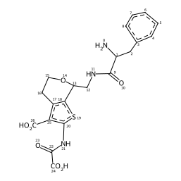 NC(Cc1ccccc1)C(=O)NCC1OCCc2c1sc(NC(=O)C(=O)O)c2C(=O)O